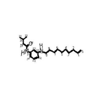 CCCCCCCCCCNc1cccc(NC(=O)CC(C)C)c1